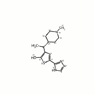 CC(c1cc(-c2nnc[nH]2)sc1O)C1CCN(C)CC1